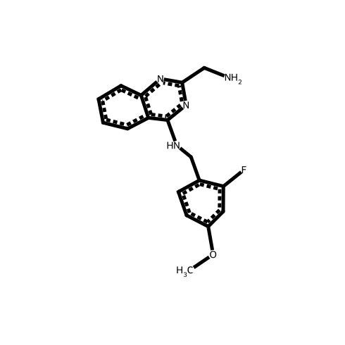 COc1ccc(CNc2nc(CN)nc3ccccc23)c(F)c1